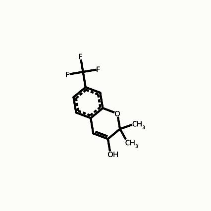 CC1(C)Oc2cc(C(F)(F)F)ccc2C=C1O